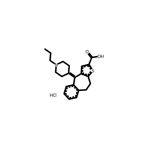 CCCN1CCC(=C2c3ccccc3CCc3sc(C(=O)O)cc32)CC1.Cl